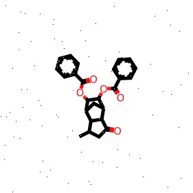 CC1CC(=O)C2C3CC(C(OC(=O)c4ccccc4)C3OC(=O)c3ccccc3)C12